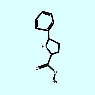 CC(C)(C)OC(=O)C1CCC(c2ccccc2)N1